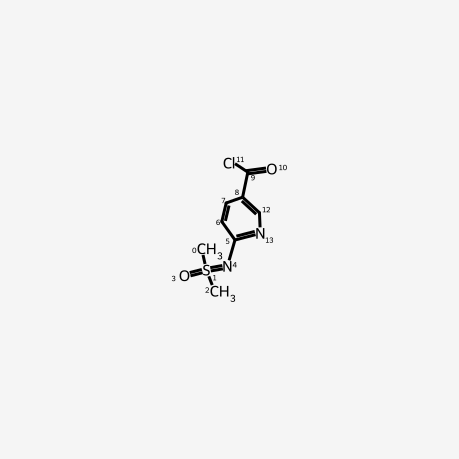 CS(C)(=O)=Nc1ccc(C(=O)Cl)cn1